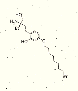 CC[C@@](N)(CO)CCc1ccc(OCCCCCCCCC(C)C)cc1O